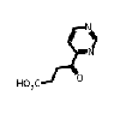 O=C(O)CCC(=O)c1ccncn1